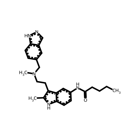 CCCCC(=O)Nc1ccc2[nH]c(C)c(CCN(C)Cc3ccc4[nH]ncc4c3)c2c1